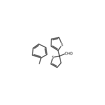 Cc1ccccc1.O=CC1(c2cccs2)CC=CS1